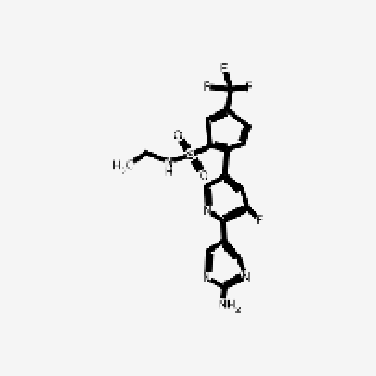 CCNS(=O)(=O)c1cc(C(F)(F)F)ccc1-c1cnc(-c2cnc(N)nc2)c(F)c1